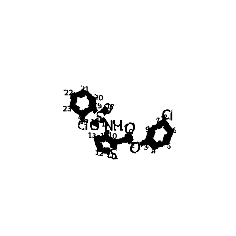 O=C(Oc1cccc(Cl)c1)c1sccc1NS(=O)(=O)c1ccccc1Cl